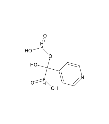 O=[PH](O)OC(O)(c1ccncc1)[PH](=O)O